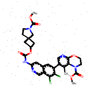 Cc1c(-c2cc3cc(NC(=O)OC4CC5(CCN(C(=O)OC(C)(C)C)C5)C4)ncc3c(Cl)c2F)cnc2c1N(C(=O)OC(C)(C)C)CCO2